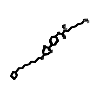 CCCCCC[C@@H](Cl)C(=O)Oc1ccc(-c2ncc(OCCCCCCCC3CCCC3)cn2)cc1